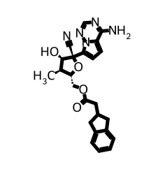 C[C@H]1[C@@H](O)[C@](C#N)(c2ccc3c(N)ncnn23)O[C@@H]1COC(=O)CC1Cc2ccccc2C1